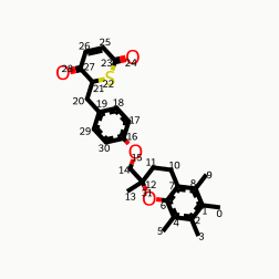 Cc1c(C)c(C)c2c(c1C)CCC(C)(COc1ccc(CC3SC(=O)C=CC3=O)cc1)O2